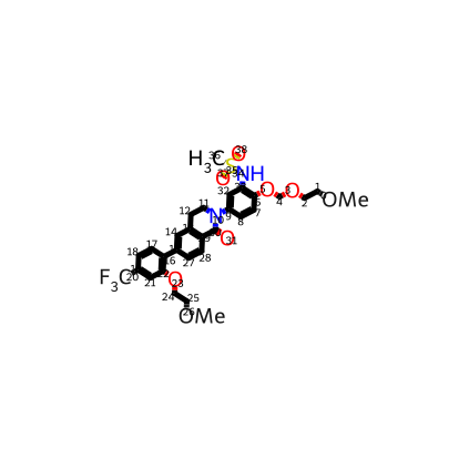 COCCOCOc1ccc(N2CCc3cc(-c4ccc(C(F)(F)F)cc4OCCOC)ccc3C2=O)cc1NS(C)(=O)=O